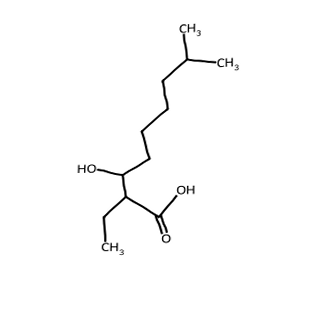 CCC(C(=O)O)C(O)CCCCC(C)C